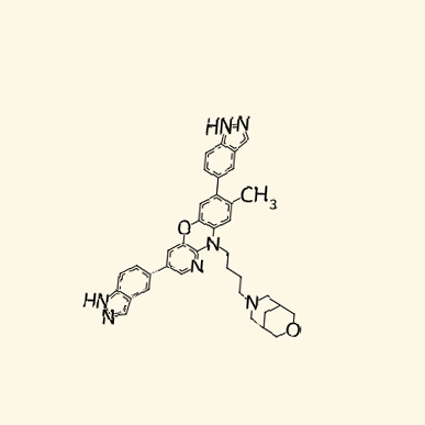 Cc1cc2c(cc1-c1ccc3[nH]ncc3c1)Oc1cc(-c3ccc4[nH]ncc4c3)cnc1N2CCCCN1CC2COCC(C2)C1